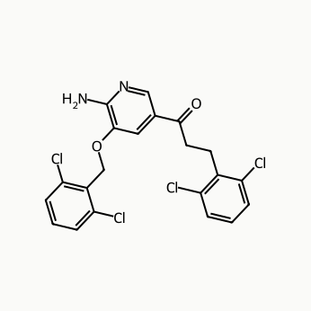 Nc1ncc(C(=O)CCc2c(Cl)cccc2Cl)cc1OCc1c(Cl)cccc1Cl